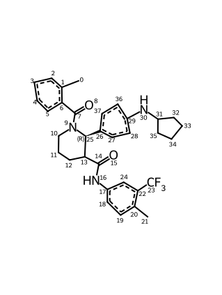 Cc1ccccc1C(=O)N1CCCC(C(=O)Nc2ccc(C)c(C(F)(F)F)c2)[C@@H]1c1ccc(NC2CCCC2)cc1